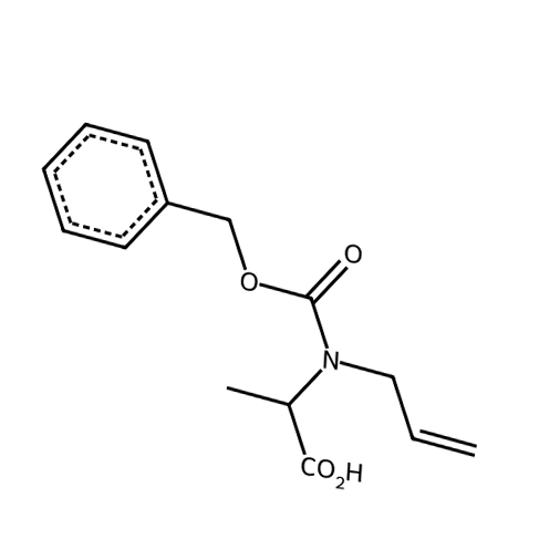 C=CCN(C(=O)OCc1ccccc1)C(C)C(=O)O